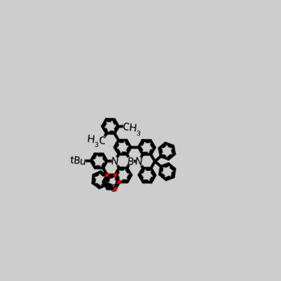 Cc1cccc(C)c1-c1cc2c3c(c1)N(c1ccc(C(C)(C)C)cc1-c1ccccc1)c1c(ccc4sc5ccccc5c14)B3N1c3ccccc3C(c3ccccc3)(c3ccccc3)c3cccc-2c31